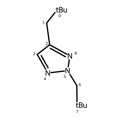 CC(C)(C)Cc1cnn(CC(C)(C)C)n1